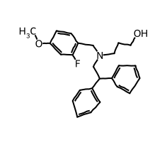 COc1ccc(CN(CCCO)CC(c2ccccc2)c2ccccc2)c(F)c1